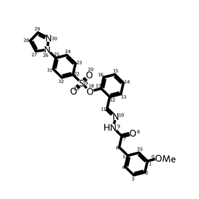 COc1cccc(CC(=O)N/N=C/c2ccccc2OS(=O)(=O)c2ccc(-n3cccn3)cc2)c1